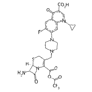 NC1C(=O)N2C(C(=O)OC(=O)C(F)(F)F)=C(CN3CCN(c4cc5c(cc4F)c(=O)c(C(=O)O)cn5C4CC4)CC3)CS[C@H]12